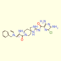 C=CN(/C=C(\N)C(=O)N1CCC2(CC1)CN/C(=N\C(=O)c1nc(Cl)c(N)nc1N)N2)Cc1ccccc1